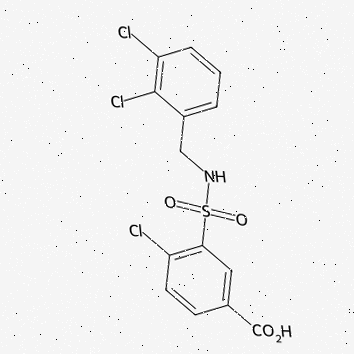 O=C(O)c1ccc(Cl)c(S(=O)(=O)NCc2cccc(Cl)c2Cl)c1